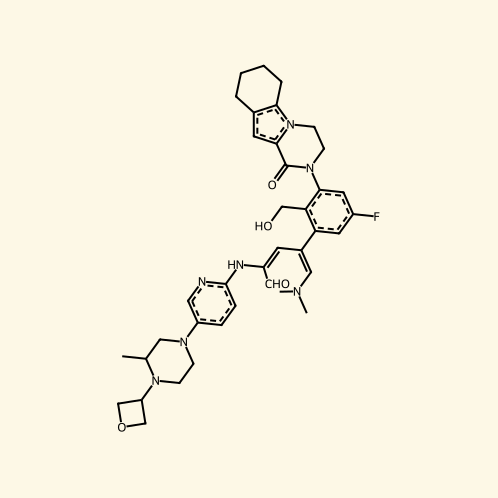 CC1CN(c2ccc(N/C(C=O)=C/C(=C\N(C)C)c3cc(F)cc(N4CCn5c(cc6c5CCCC6)C4=O)c3CO)nc2)CCN1C1COC1